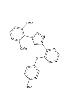 COc1ccc(Sc2ccccc2-c2cn(-c3c(OC)cccc3OC)nn2)cc1